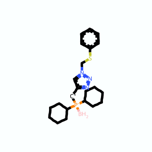 B[P-]([CH+]c1cn(CSc2ccccc2)nn1)(C1CCCCC1)C1CCCCC1